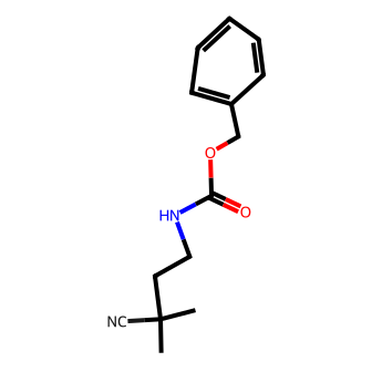 CC(C)(C#N)CCNC(=O)OCc1ccccc1